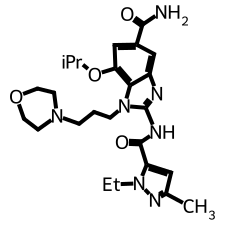 CCn1nc(C)cc1C(=O)Nc1nc2cc(C(N)=O)cc(OC(C)C)c2n1CCCN1CCOCC1